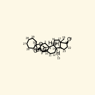 COC1(OC[C@]23CCC(=O)C=C2C[C@@H](C)[C@@H]2[C@@H]3CC[C@]3(C)C(=O)CC[C@@H]23)CCCCCC1